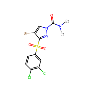 CCN(CC)C(=O)n1cc(Br)c(S(=O)(=O)c2ccc(Cl)c(Cl)c2)n1